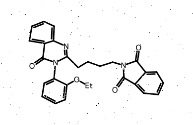 CCOc1ccccc1-n1c(CCCCN2C(=O)c3ccccc3C2=O)nc2ccccc2c1=O